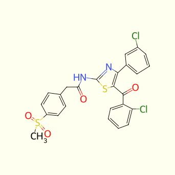 CS(=O)(=O)c1ccc(CC(=O)Nc2nc(-c3cccc(Cl)c3)c(C(=O)c3ccccc3Cl)s2)cc1